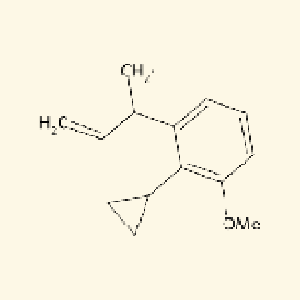 [CH2]C(C=C)c1cccc(OC)c1C1CC1